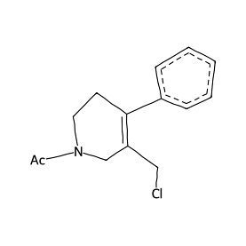 CC(=O)N1CCC(c2ccccc2)=C(CCl)C1